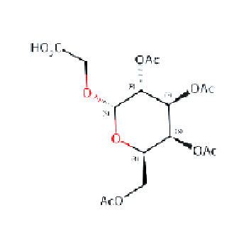 CC(=O)OC[C@H]1O[C@H](OCC(=O)O)[C@H](OC(C)=O)[C@@H](OC(C)=O)[C@H]1OC(C)=O